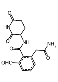 NC(=O)Cc1cccc(C=O)c1C(=O)NC1CCC(=O)NC1=O